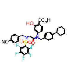 N#Cc1ccc(CN(CC(=O)N(Cc2ccc(C3CCCCC3)cc2)c2ccc(C(=O)O)c(O)c2)S(=O)(=O)c2c(F)c(F)c(F)c(F)c2F)cc1